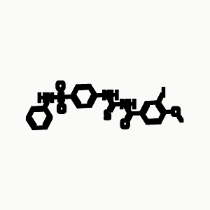 COc1ccc(C(=O)NC(=S)Nc2ccc(S(=O)(=O)Nc3ccccc3)cc2)cc1I